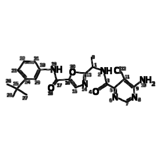 CC(NC(=O)c1ncnc(N)c1Cl)c1ncc(C(=O)Nc2cccc(C(C)(C)C)c2)o1